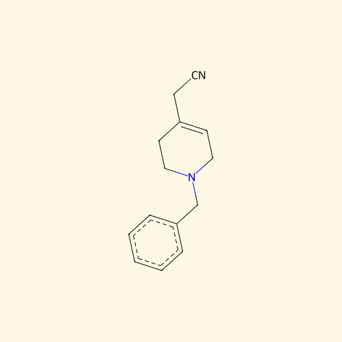 N#CCC1=CCN(Cc2ccccc2)CC1